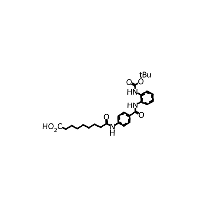 CC(C)(C)OC(=O)Nc1ccccc1NC(=O)c1ccc(NC(=O)CCCCCCCC(=O)O)cc1